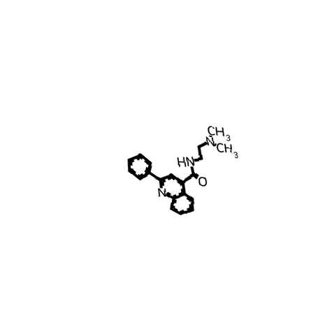 CN(C)CCNC(=O)c1cc(-c2ccccc2)nc2ccccc12